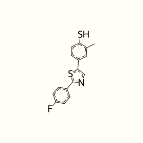 Cc1cc(-c2cnc(-c3ccc(F)cc3)s2)ccc1S